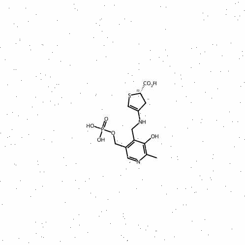 Cc1ncc(COP(=O)(O)O)c(CNC2=CS[C@H](C(=O)O)C2)c1O